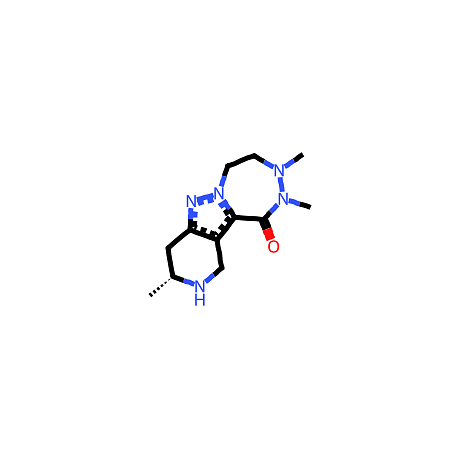 C[C@@H]1Cc2nn3c(c2CN1)C(=O)N(C)N(C)CC3